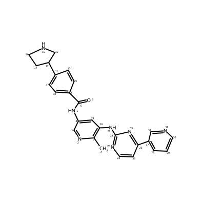 Cc1ncc(NC(=O)c2ccc(C3CCNC3)cc2)cc1Nc1nccc(-c2cccnc2)n1